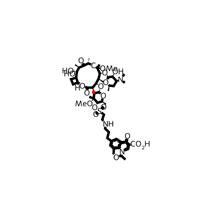 CO[C@]1(C)C[C@@H](C)C(=O)[C@H](C)[C@@H](O)[C@@]2(O)CC[C@H]2OC(=O)[C@H](C)[C@@H](O[C@H]2C[C@@](C)(OC)[C@@H](OS(=O)(=O)CCNCCCc3cc4c5c(c3)c(=O)c(C(=O)O)cn5C(C)OC4)[C@H](C)O2)[C@H](C)[C@H]1O[C@@H]1O[C@H](C)C[C@H](N(C)C)[C@H]1O